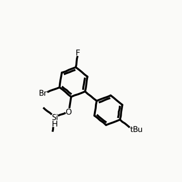 C[SiH](C)Oc1c(Br)cc(F)cc1-c1ccc(C(C)(C)C)cc1